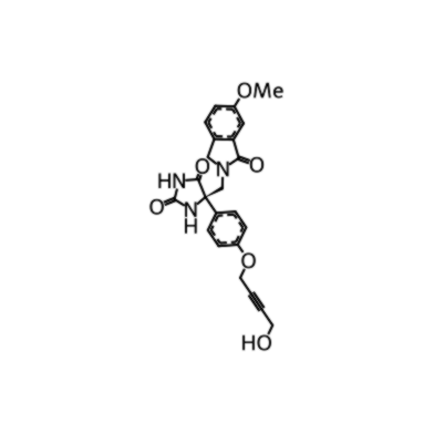 COc1ccc2c(c1)C(=O)N(C[C@@]1(c3ccc(OCC#CCO)cc3)NC(=O)NC1=O)C2